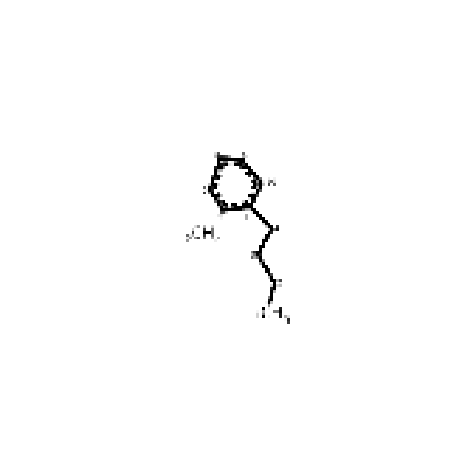 C.CCCCc1ccccc1